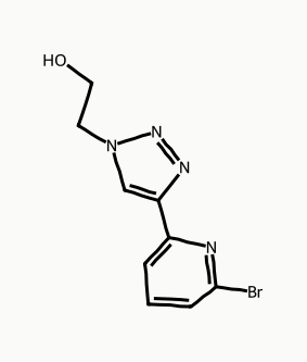 OCCn1cc(-c2cccc(Br)n2)nn1